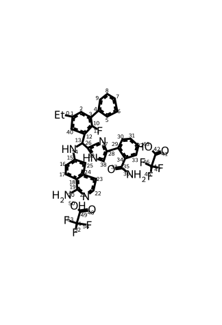 CCc1cc(-c2ccccc2)c(F)c(C(Nc2ccc3c(N)nccc3c2)c2nc(-c3ccccc3C(N)=O)c[nH]2)c1.O=C(O)C(F)(F)F.O=C(O)C(F)(F)F